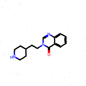 O=c1c2ccccc2ncn1CCC1CCNCC1